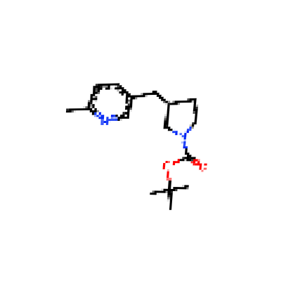 Cc1ccc(CC2CCN(C(=O)OC(C)(C)C)C2)cn1